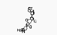 O=C1[C@H](Cc2c(Cl)cc(-c3cccc(OC(F)(F)F)c3)cc2Cl)CCN1[C@H]1CCc2n[nH]cc2C1